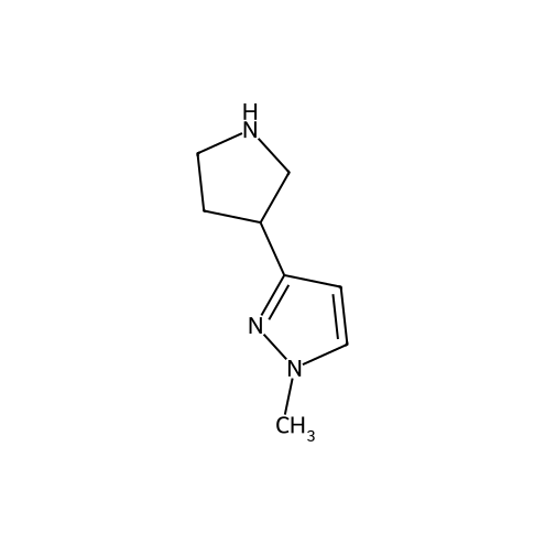 Cn1ccc(C2CCNC2)n1